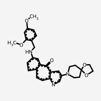 COc1ccc(CNc2ccc3ccc4ncc(N5CCC6(CC5)OCCO6)cc4c(=O)c3c2)c(OC)c1